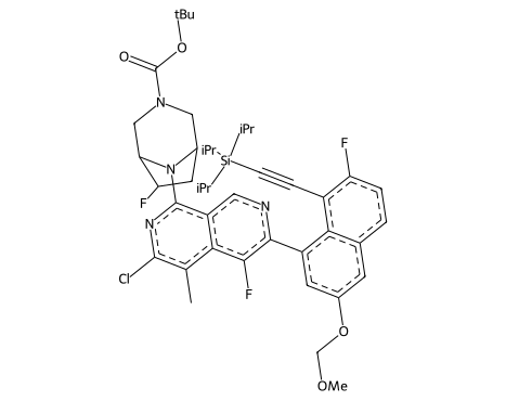 COCOc1cc(-c2ncc3c(N4C5CC(F)C4CN(C(=O)OC(C)(C)C)C5)nc(Cl)c(C)c3c2F)c2c(C#C[Si](C(C)C)(C(C)C)C(C)C)c(F)ccc2c1